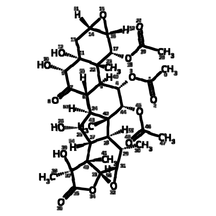 CC(=O)O[C@H]1[C@H]2[C@@H](C(=O)[C@H](O)[C@@]3(O)C[C@@H]4O[C@@H]4[C@H](OC(C)=O)[C@]23C)[C@@H]2[C@@H](O)[C@@H]3[C@H]([C@H](C)[C@H]4O[C@]45OC(=O)[C@@](C)(O)[C@]35C)[C@@]2(C)[C@H]1OC(C)=O